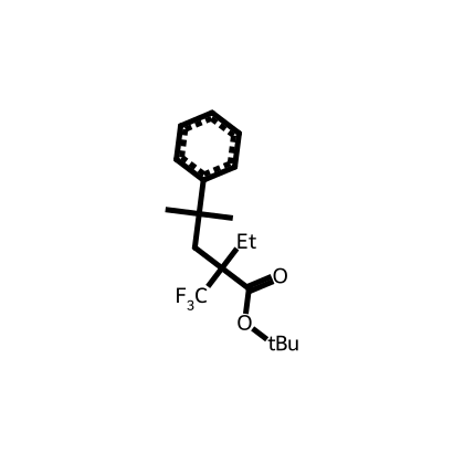 CCC(CC(C)(C)c1ccccc1)(C(=O)OC(C)(C)C)C(F)(F)F